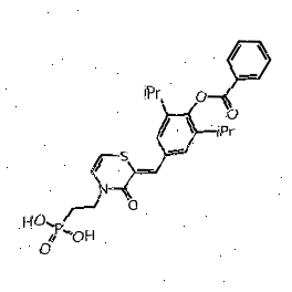 CC(C)c1cc(C=C2SC=CN(CCP(=O)(O)O)C2=O)cc(C(C)C)c1OC(=O)c1ccccc1